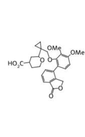 COc1ccc(-c2cccc3c2COC3=O)c(OCC2(C3CC(C(=O)O)CCO3)CC2)c1OC